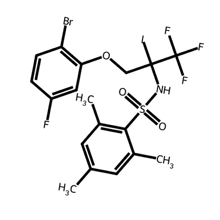 Cc1cc(C)c(S(=O)(=O)NC(I)(COc2cc(F)ccc2Br)C(F)(F)F)c(C)c1